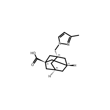 Cc1ccn(C[C@@]23C[C@H]4C[C@@H](C2)C[C@](C(=O)O)(C4)C3)n1